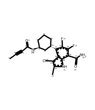 CC#CC(=O)N[C@H]1CCC[C@H](c2c(F)c(F)c(C(N)=O)c3[nH]c(C)c(Cl)c23)C1